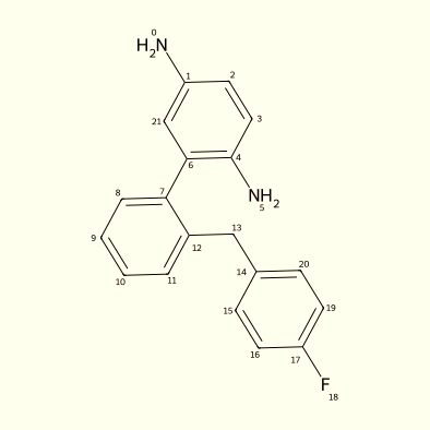 Nc1ccc(N)c(-c2ccccc2Cc2ccc(F)cc2)c1